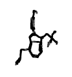 CC#Cc1cc2c(CC#N)cccc2n1CC(F)(F)F